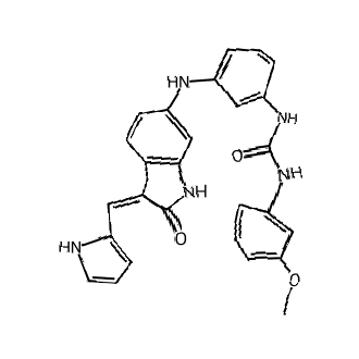 COc1cccc(NC(=O)Nc2cccc(Nc3ccc4c(c3)NC(=O)/C4=C\c3ccc[nH]3)c2)c1